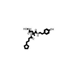 CC(CC(=O)NO)(NC(=O)CCCC1CCCC1)C(=O)NCCc1ccc(O)cc1